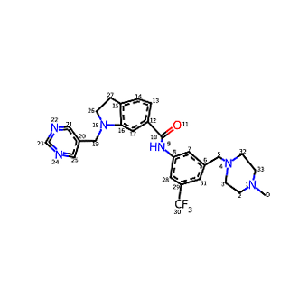 CN1CCN(Cc2cc(NC(=O)c3ccc4c(c3)N(Cc3cncnc3)CC4)cc(C(F)(F)F)c2)CC1